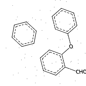 O=Cc1ccccc1Oc1ccccc1.c1ccccc1